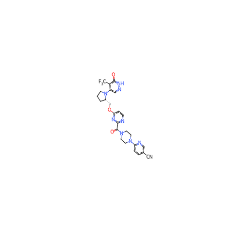 N#Cc1ccc(N2CCN(C(=O)c3nccc(OC[C@@H]4CCCN4c4cn[nH]c(=O)c4C(F)(F)F)n3)CC2)nc1